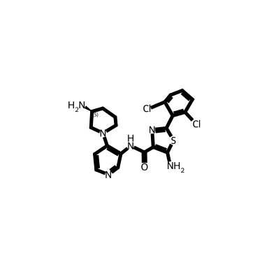 Nc1sc(-c2c(Cl)cccc2Cl)nc1C(=O)Nc1cnccc1N1CCC[C@H](N)C1